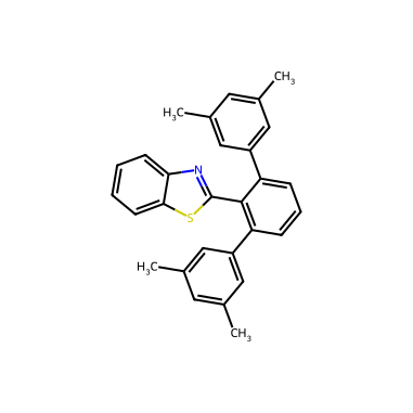 Cc1cc(C)cc(-c2cccc(-c3cc(C)cc(C)c3)c2-c2nc3ccccc3s2)c1